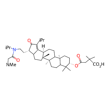 CNCC(=O)N(CC[C@@H]1C(=O)C(C(C)C)=C2C1CC[C@]1(C)[C@@H]2CCC2[C@@]3(C)CC[C@H](OC(=O)CC(C)(C)C(=O)O)C(C)(C)C3CC[C@]21C)C(C)C